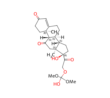 COC(O)(OC)OCC(=O)[C@@]1(O)CC[C@H]2[C@@H]3CCC4=CC(=O)CC[C@]4(C)[C@H]3C(=O)C[C@@]21C